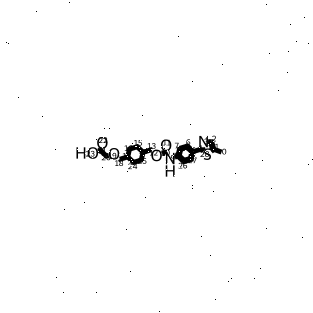 Cc1cnc(-c2ccc(NC(=O)OCC3CCC(COCC(=O)O)CC3)cc2)s1